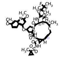 CC[C@@H]1C[C@H](C)CC/C=C\[C@@H]2C[C@@]2(C(=O)NS(=O)(=O)C2(C)CC2)NC(=O)[C@@H]2C[C@@H](Oc3cc(OC)nc4cc(OC)ccc34)CN2C(=O)[C@H]1NC(=O)OC(C)(C)C(C)(F)F